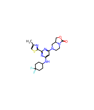 Cc1csc(-c2nc(NC3CCC(F)(F)CC3)cc(N3CCN4C(=O)OCC4C3)n2)n1